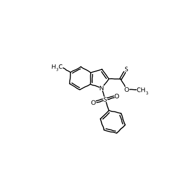 COC(=S)c1cc2cc(C)ccc2n1S(=O)(=O)c1ccccc1